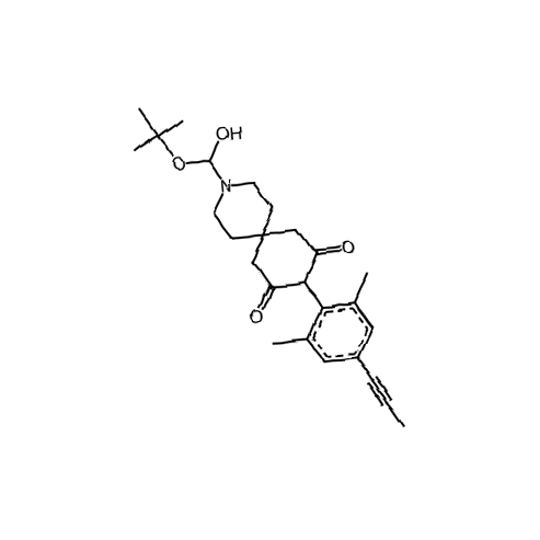 CC#Cc1cc(C)c(C2C(=O)CC3(CCN(C(O)OC(C)(C)C)CC3)CC2=O)c(C)c1